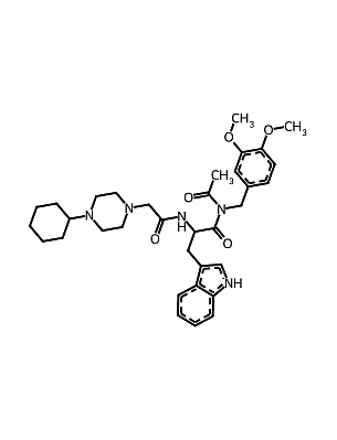 COc1ccc(CN(C(C)=O)C(=O)C(Cc2c[nH]c3ccccc23)NC(=O)CN2CCN(C3CCCCC3)CC2)cc1OC